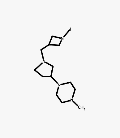 CN1CCN(C2CCN(CC3CN(I)C3)C2)CC1